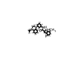 Cc1ccc(F)c2cc(C(=O)Nc3cccc(N4CCN(C5CC5)c5ccccc54)c3)[nH]c12